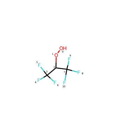 OOC(C(F)(F)F)C(F)(F)F